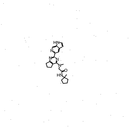 CN(CC(=O)NC1(C)CCCC1)c1nc(-c2cc3cc[nH]c3cn2)nc2c1CCC2